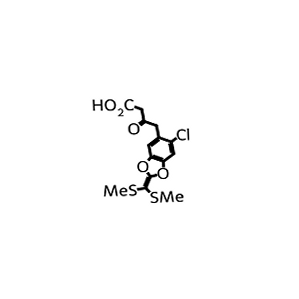 CSC(SC)=C1Oc2cc(Cl)c(CC(=O)CC(=O)O)cc2O1